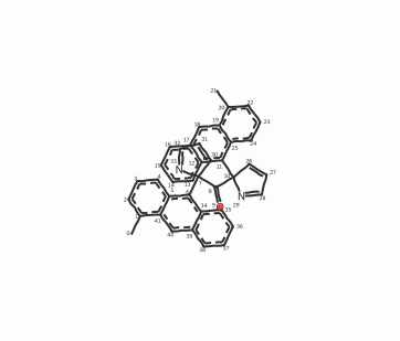 Cc1cccc2c(C3(C(=O)C4(c5c6ccccc6cc6c(C)cccc56)C=CC=N4)C=CC=N3)c3ccccc3cc12